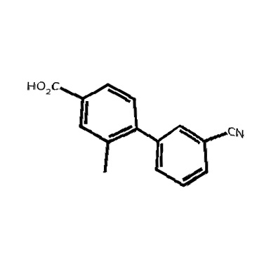 Cc1cc(C(=O)O)ccc1-c1cccc(C#N)c1